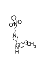 COc1ccc2[nH]cc(C3CCN(CCCCN4C(=O)c5ccccc5C4=O)CC3)c2c1